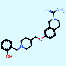 N=C(N)N1CCc2ccc(OCC3CCN(Cc4ccccc4O)CC3)cc2C1